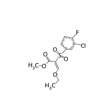 CCO/C=C(\C(=O)OC)S(=O)(=O)c1ccc(F)c(Cl)c1